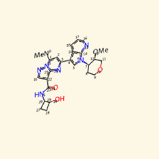 CNc1cc(-c2cn([C@@H]3CCOC[C@@H]3OC)c3ncccc23)nc2c(C(=O)NC3CCC3O)cnn12